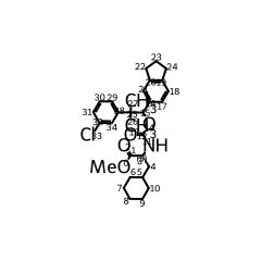 COC(=O)[C@H](CC1CCCCC1)NC(=O)OC(c1ccc2c(c1)CCC2)C(C)(C)c1cccc(Cl)c1